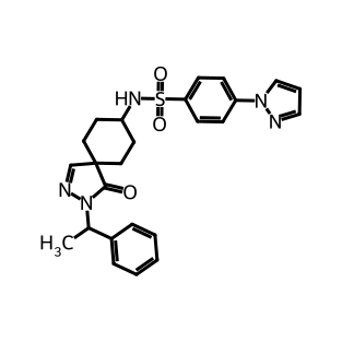 CC(c1ccccc1)N1N=CC2(CCC(NS(=O)(=O)c3ccc(-n4cccn4)cc3)CC2)C1=O